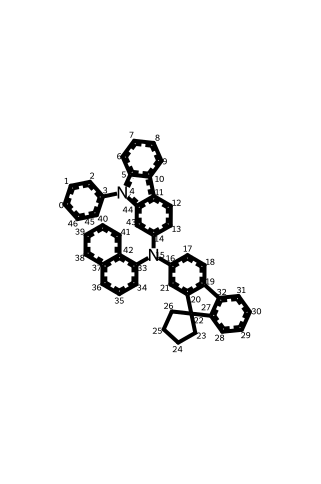 c1ccc(-n2c3ccccc3c3ccc(N(c4ccc5c(c4)C4(CCCC4)c4ccccc4-5)c4cccc5ccccc45)cc32)cc1